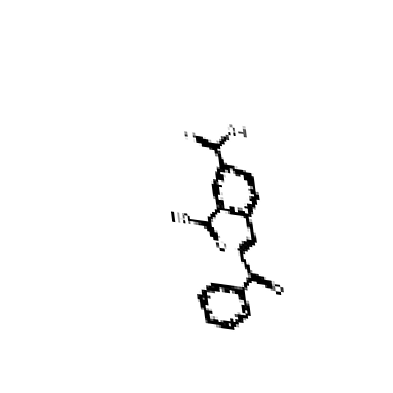 O=C(O)c1ccc(/C=C/C(=O)c2ccccc2)c(C(=O)O)c1